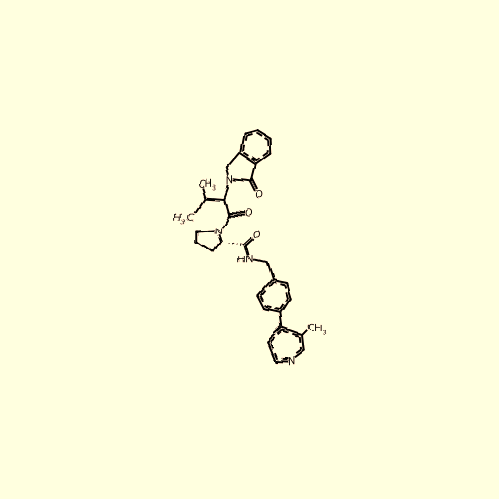 Cc1cnccc1-c1ccc(CNC(=O)[C@@H]2CCCN2C(=O)C(C(C)C)N2Cc3ccccc3C2=O)cc1